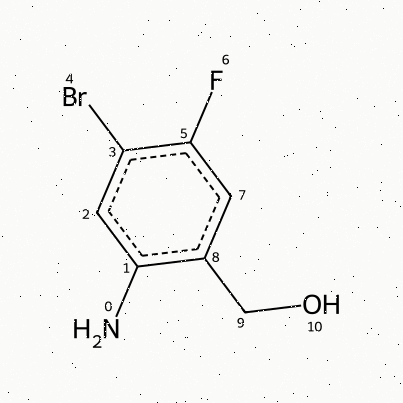 Nc1cc(Br)c(F)cc1CO